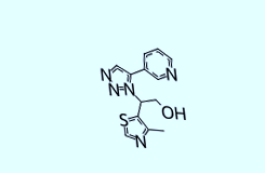 Cc1ncsc1C(CO)n1nncc1-c1cccnc1